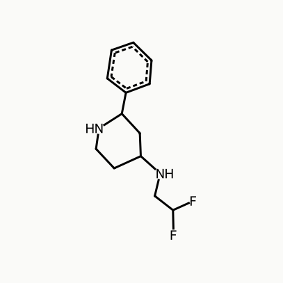 FC(F)CNC1CCNC(c2ccccc2)C1